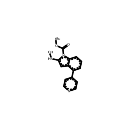 CC(C)(C)OC(=O)n1c(BO)cc2c(-c3ccncc3)cccc21